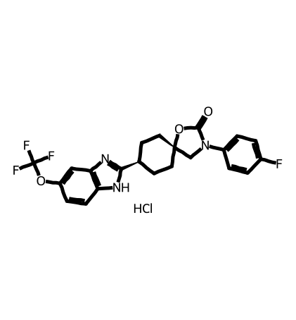 Cl.O=C1O[C@]2(CC[C@H](c3nc4cc(OC(F)(F)F)ccc4[nH]3)CC2)CN1c1ccc(F)cc1